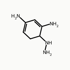 NNC1CC=C(N)C=C1N